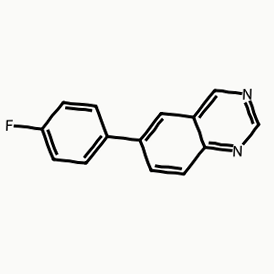 Fc1ccc(-c2ccc3ncncc3c2)cc1